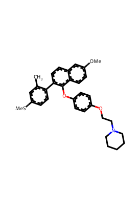 COc1ccc2c(Oc3ccc(OCCN4CCCCC4)cc3)c(-c3ccc(SC)cc3C)ccc2c1